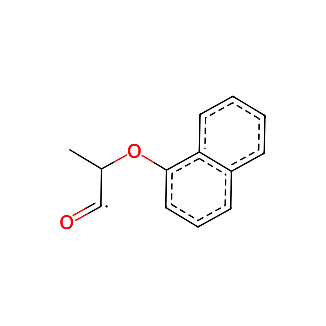 CC([C]=O)Oc1cccc2ccccc12